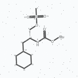 CC(C)(C)OC(=O)N[C@@H](COS(C)(=O)=O)CC1CCCCC1